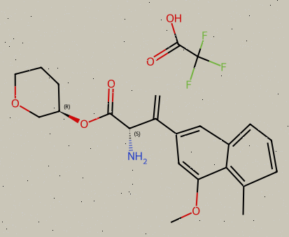 C=C(c1cc(OC)c2c(C)cccc2c1)[C@H](N)C(=O)O[C@@H]1CCCOC1.O=C(O)C(F)(F)F